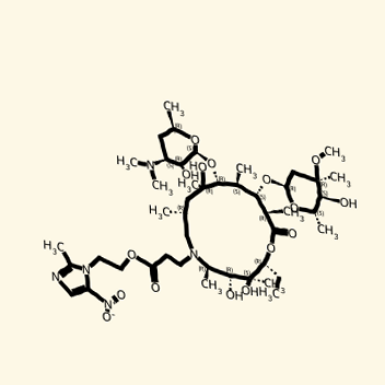 CC[C@H]1OC(=O)[C@H](C)[C@@H](O[C@H]2C[C@@](C)(OC)[C@@H](O)[C@H](C)O2)[C@H](C)[C@@H](O[C@@H]2O[C@H](C)C[C@H](N(C)C)[C@H]2O)[C@](C)(O)C[C@@H](C)CN(CCC(=O)OCCn2c([N+](=O)[O-])cnc2C)[C@H](C)[C@@H](O)[C@]1(C)O